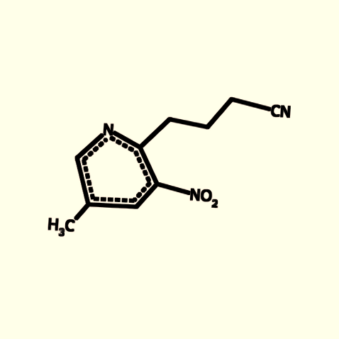 Cc1cnc(CCCC#N)c([N+](=O)[O-])c1